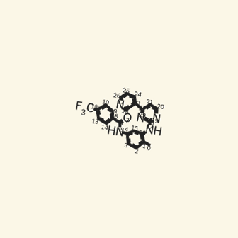 Cc1ccc(NC(=O)c2ccc(C(F)(F)F)cc2)cc1Nc1nccc(-c2cccnc2)n1